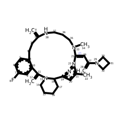 C=C1CCc2ccc(F)cc2C(=C)N2CCCCC2c2cc(C)n(n2)/C(=C\C(=C)N2CCC2)N(C)CCCN1